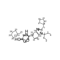 CCC(CC)n1c(CC2CCCC2)nc2cc(C(=O)N[C@@H](CC3CCCCC3)C(=O)O)ccc21